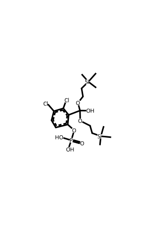 C[Si](C)(C)CCOC(O)(OCC[Si](C)(C)C)c1c(OP(=O)(O)O)ccc(Cl)c1Cl